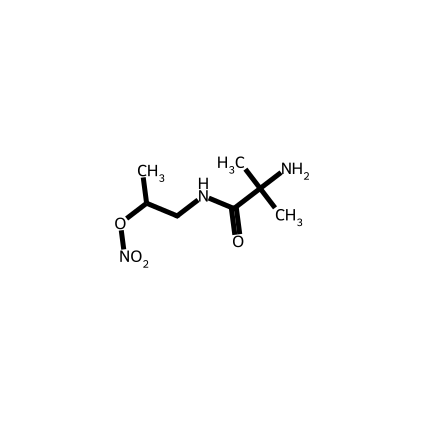 CC(CNC(=O)C(C)(C)N)O[N+](=O)[O-]